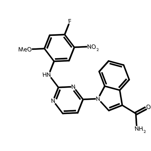 COc1cc(F)c([N+](=O)[O-])cc1Nc1nccc(-n2cc(C(N)=O)c3ccccc32)n1